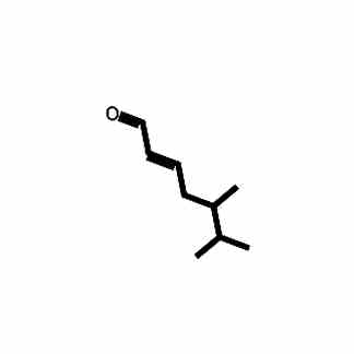 CC(C)C(C)CC=CC=O